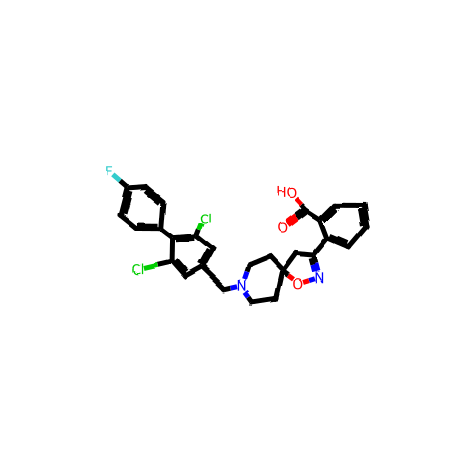 O=C(O)c1ccccc1C1=NOC2(CCN(Cc3cc(Cl)c(-c4ccc(F)cc4)c(Cl)c3)CC2)C1